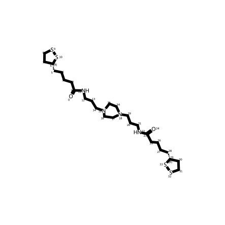 O=C(CCCC[C@@H]1CCSS1)NCCCN1CCN(CCCNC(=O)CCCC[C@@H]2CCSS2)CC1